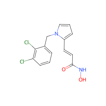 O=C(C=Cc1cccn1Cc1cccc(Cl)c1Cl)NO